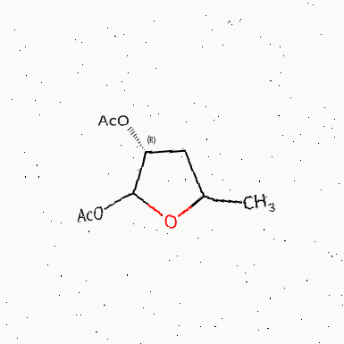 CC(=O)OC1OC(C)C[C@H]1OC(C)=O